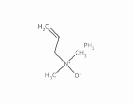 C=CC[N+](C)(C)[O-].P